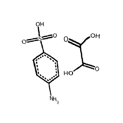 Nc1ccc(S(=O)(=O)O)cc1.O=C(O)C(=O)O